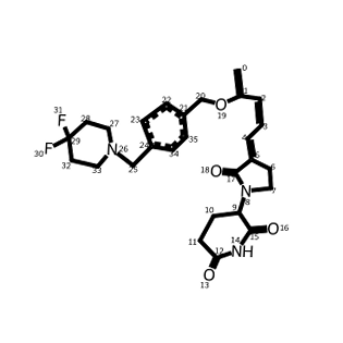 C=C(/C=C\C=C1/CCN(C2CCC(=O)NC2=O)C1=O)OCc1ccc(CN2CCC(F)(F)CC2)cc1